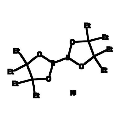 CCC1(CC)OB(B2OC(CC)(CC)C(CC)(CC)O2)OC1(CC)CC.[N]